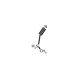 C[SiH2]C#N